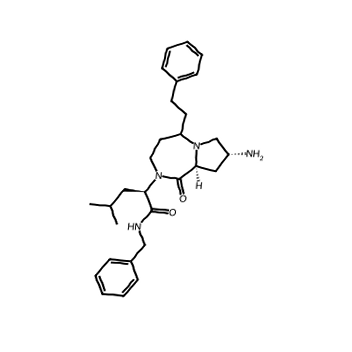 CC(C)C[C@H](C(=O)NCc1ccccc1)N1CCC(CCc2ccccc2)N2C[C@H](N)C[C@H]2C1=O